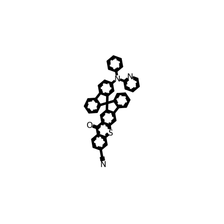 N#Cc1ccc2c(=O)c3cc4c(cc3sc2c1)-c1ccccc1C41c2ccccc2-c2ccc(N(c3ccccc3)c3ccccn3)cc21